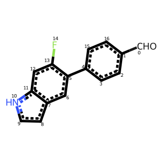 O=Cc1ccc(-c2cc3cc[nH]c3cc2F)cc1